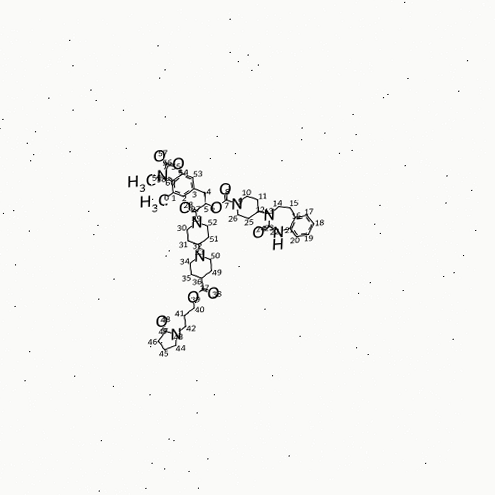 Cc1cc(C[C@@H](OC(=O)N2CCC(N3CCc4ccccc4NC3=O)CC2)C(=O)N2CCC(N3CCC(C(=O)OCCCN4CCCC4=O)CC3)CC2)cc2oc(=O)n(C)c12